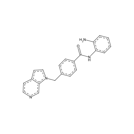 Nc1ccccc1NC(=O)c1ccc(Cn2ccc3ccncc32)cc1